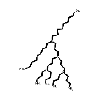 CCCCCCCCCCCCCCCCCCN(CCCCCCCCCCCCCCCCCC)CCCN(CCCN(CCCN)CCCN)CCCN(CCCN)CCCN